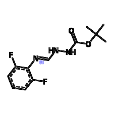 CC(C)(C)OC(=O)NN/C=N/c1c(F)cccc1F